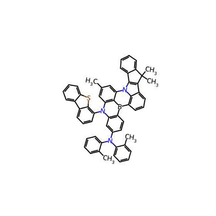 Cc1cc2c3c(c1)-n1c4c(c5cccc(c51)B3c1ccc(N(c3ccccc3C)c3ccccc3C)cc1N2c1cccc2c1sc1ccccc12)C(C)(C)c1ccccc1-4